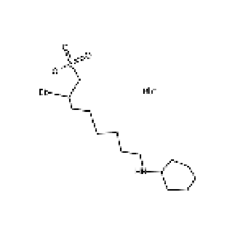 CCC(CCCCCCNC1CCCCC1)CS(=O)(=O)[O-].[Rb+]